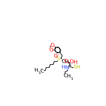 CCCCCCCC[S+]([O-])C(C)Cc1ccc2c(c1)OCO2.CCCN[C@H](CS)C(=O)O